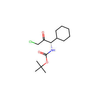 CC(C)(C)OC(=O)N[C@H](C(=O)CCl)C1CCCCC1